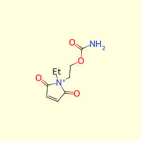 CC[N+]1(CCOC(N)=O)C(=O)C=CC1=O